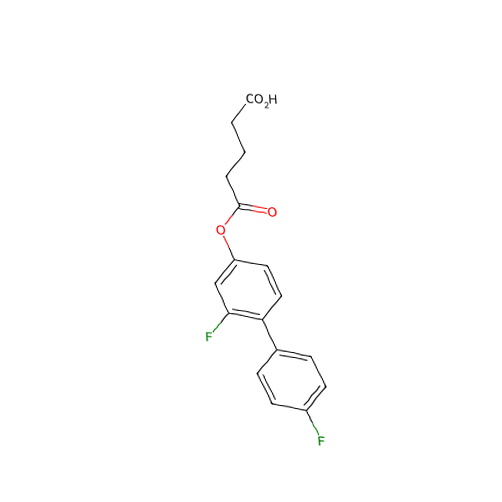 O=C(O)CCCC(=O)Oc1ccc(-c2ccc(F)cc2)c(F)c1